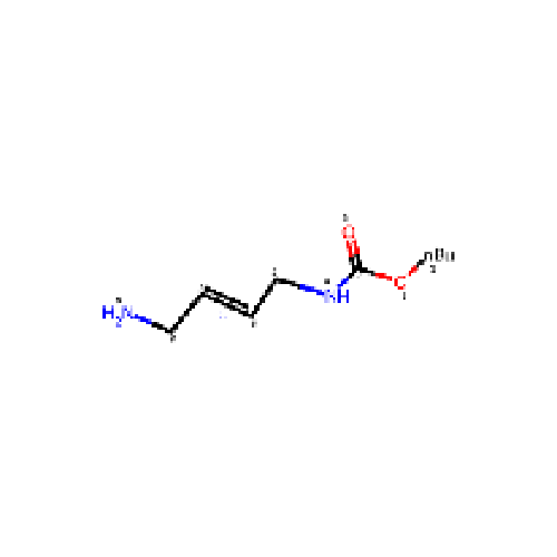 CCCCOC(=O)NC/C=C/CN